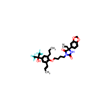 C/C=C/c1cc(C(O)(C(F)(F)F)C(F)(F)F)cc(CCC)c1OCCCCN1C(=O)NC(CC)(c2ccc3c(c2)OCO3)C1=O